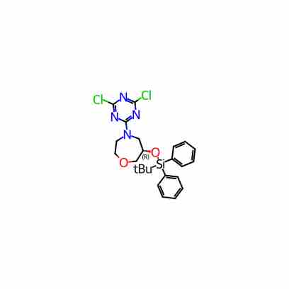 CC(C)(C)[Si](O[C@H]1COCCN(c2nc(Cl)nc(Cl)n2)C1)(c1ccccc1)c1ccccc1